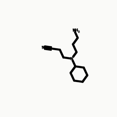 N#CCCN(CCCN)C1CCCCC1